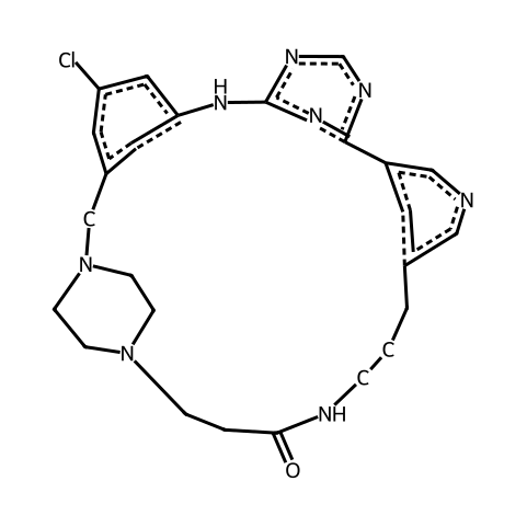 O=C1CCN2CCN(CC2)Cc2cc(Cl)cc(c2)Nc2ncnc(n2)-c2cncc(c2)CCCN1